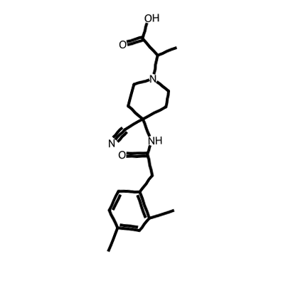 Cc1ccc(CC(=O)NC2(C#N)CCN(C(C)C(=O)O)CC2)c(C)c1